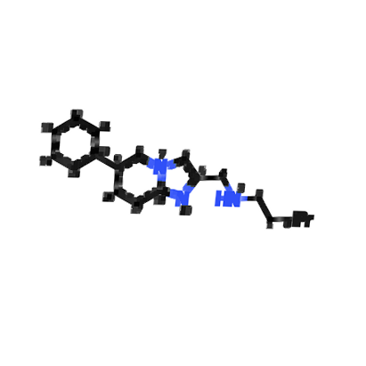 CC(C)CCNCc1cn2cc(-c3ccccc3)ccc2n1